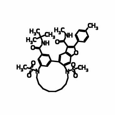 CNC(=O)c1c(-c2ccc(C)cc2)oc2cc3c(cc12)-c1cc(C(=O)NC(C)(C)C)cc(c1)N(S(C)(=O)=O)CCCCCCCCN3S(C)(=O)=O